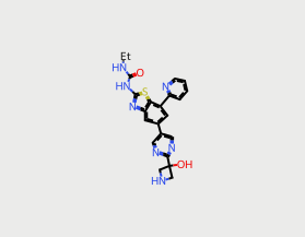 CCNC(=O)Nc1nc2cc(-c3cnc(C4(O)CNC4)nc3)cc(-c3ccccn3)c2s1